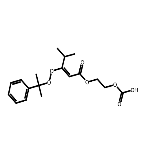 CC(C)C(=CC(=O)OCCOC(=O)O)OOC(C)(C)c1ccccc1